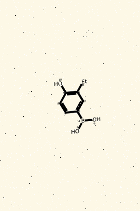 CCc1cc(B(O)O)ccc1O